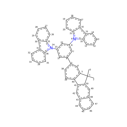 CC1(C)c2cc(-c3cc(-n4c5ccccc5c5ccccc54)cc(-n4c5ccccc5c5ccccc54)c3)ccc2-c2cc3ccccc3cc21